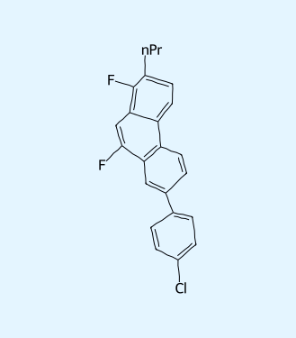 CCCc1ccc2c(cc(F)c3cc(-c4ccc(Cl)cc4)ccc32)c1F